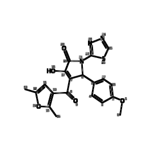 COc1ccc(C2C(C(=O)c3cc(C)oc3C)=C(O)C(=O)N2c2nncs2)cc1